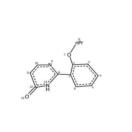 CCCOc1ccccc1-c1nccc(=O)[nH]1